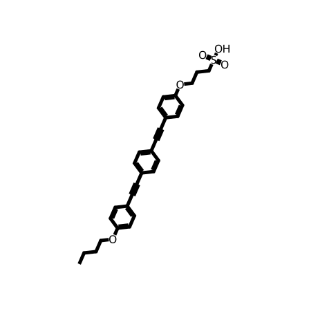 CCCCOc1ccc(C#Cc2ccc(C#Cc3ccc(OCCCS(=O)(=O)O)cc3)cc2)cc1